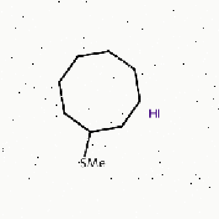 CSC1CCCCCCC1.I